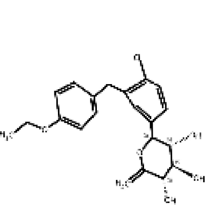 C=C1O[C@@H](c2ccc(Cl)c(Cc3ccc(OCC)cc3)c2)[C@H](O)[C@@H](O)[C@@H]1O